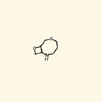 C1CNC2COC2CSC1